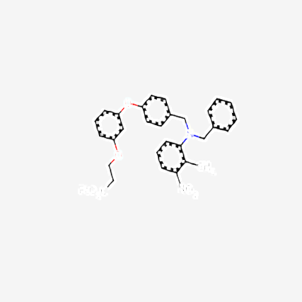 CCOC(=O)CCOc1cccc(Oc2ccc(CN(Cc3ccccc3)c3cccc([N+](=O)[O-])c3C)cc2)c1